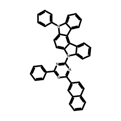 c1ccc(-c2nc(-c3ccc4ccccc4c3)nc(-n3c4ccccc4c4c5c6ccccc6n(-c6ccccc6)c5ccc43)n2)cc1